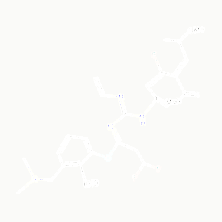 C=C/N=C(\N=C(/CC(F)F)Oc1cccc(CN(C)C)c1C=O)NC(=C)/C=C(F)\C(=C/C(C)OC)C(=C)NC